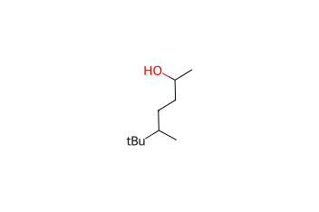 CC(O)CCC(C)C(C)(C)C